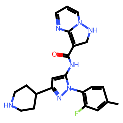 Cc1ccc(-n2nc(C3CCNCC3)cc2NC(=O)C2=C3N=CC=CN3NC2)c(F)c1